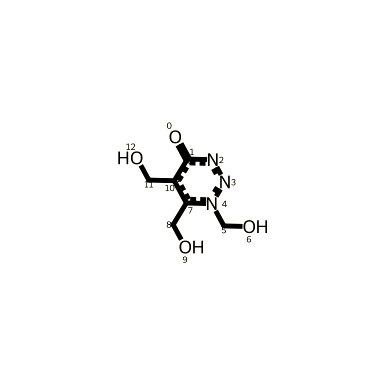 O=c1nnn(CO)c(CO)c1CO